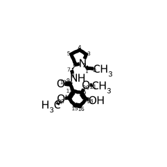 CCN1CCC[C@H]1CNC(=O)c1c(OC)ccc(O)c1OC